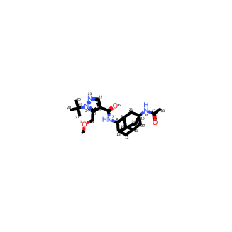 COCc1c(C(=O)NC2C3CC4CC2CC(NC(C)=O)(C4)C3)cnn1C(C)(C)C